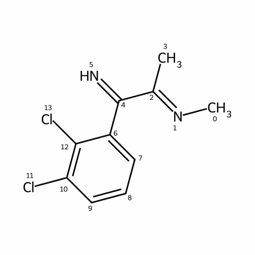 CN=C(C)C(=N)c1cccc(Cl)c1Cl